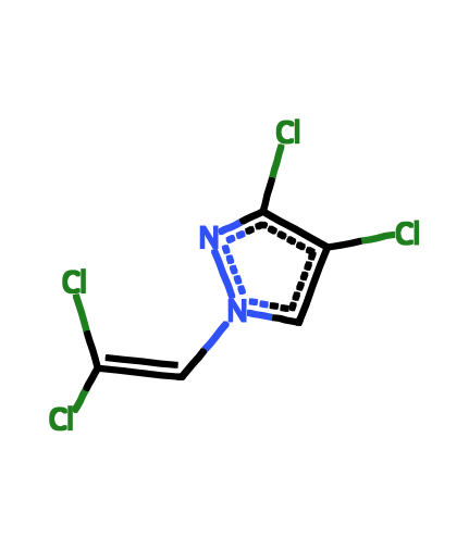 ClC(Cl)=Cn1cc(Cl)c(Cl)n1